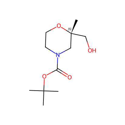 CC(C)(C)OC(=O)N1CCO[C@](C)(CO)C1